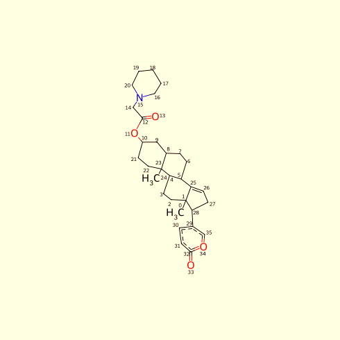 CC12CCC3C(CCC4CC(OC(=O)CN5CCCCC5)CCC43C)C1=CCC2c1ccc(=O)oc1